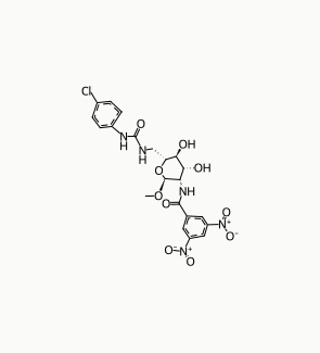 CO[C@H]1O[C@H](CNC(=O)Nc2ccc(Cl)cc2)[C@@H](O)[C@H](O)[C@@H]1NC(=O)c1cc([N+](=O)[O-])cc([N+](=O)[O-])c1